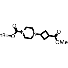 COC(=O)C1CC(N2CCN(C(=O)OC(C)(C)C)CC2)C1